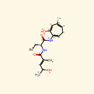 CCC(C)C[C@H](NC(=O)/C(C)=C/C(C)O)C(=O)NC1=CCC=C(F)C=C1O